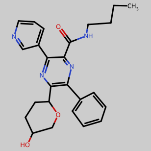 CCCCNC(=O)c1nc(-c2ccccc2)c(C2CCC(O)CO2)nc1-c1cccnc1